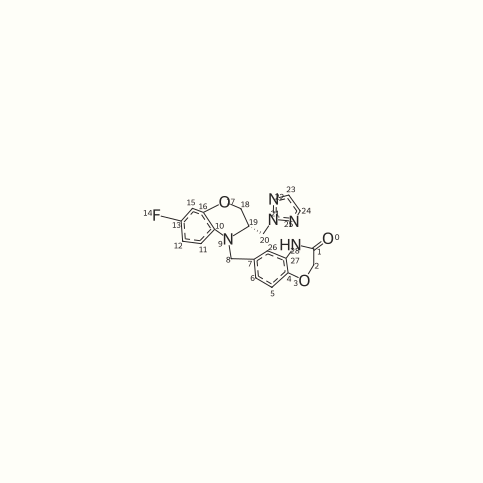 O=C1COc2ccc(CN3c4ccc(F)cc4OC[C@@H]3Cn3nccn3)cc2N1